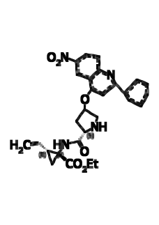 C=C[C@H]1C[C@]1(NC(=O)[C@@H]1CC(Oc2cc(-c3ccccc3)nc3ccc([N+](=O)[O-])cc23)CN1)C(=O)OCC